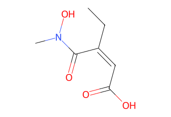 CCC(=CC(=O)O)C(=O)N(C)O